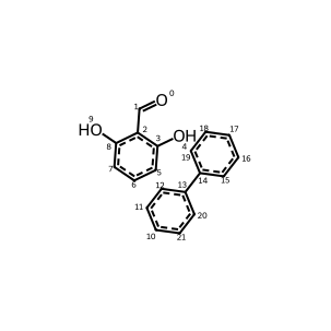 O=Cc1c(O)cccc1O.c1ccc(-c2ccccc2)cc1